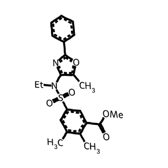 CCN(c1nc(-c2ccccc2)oc1C)S(=O)(=O)c1cc(C)c(C)c(C(=O)OC)c1